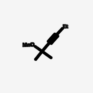 [CH2]CC#CC(C)(C)OC